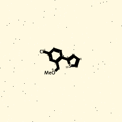 COCc1cc(Cl)ccc1-c1cccs1